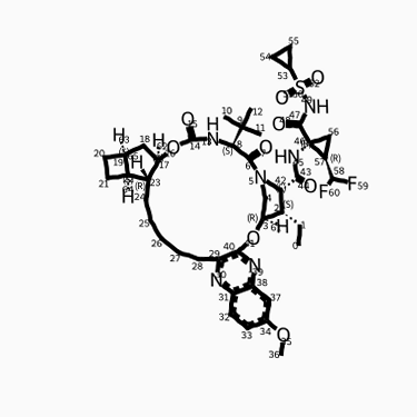 CC[C@@H]1[C@@H]2CN(C(=O)[C@H](C(C)(C)C)NC(=O)O[C@@H]3C[C@@H]4CC[C@@H]4[C@H]3CCCCCc3nc4ccc(OC)cc4nc3O2)[C@@H]1C(=O)N[C@]1(C(=O)NS(=O)(=O)C2CC2)C[C@H]1C(F)F